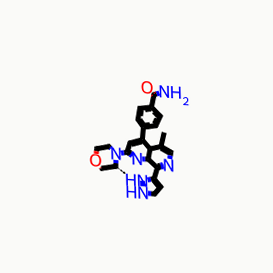 CC1=CN=C(C2=CCNN2)C2N=C(N3CCOC[C@H]3C)C=C(c3ccc(C(N)=O)cc3)C12